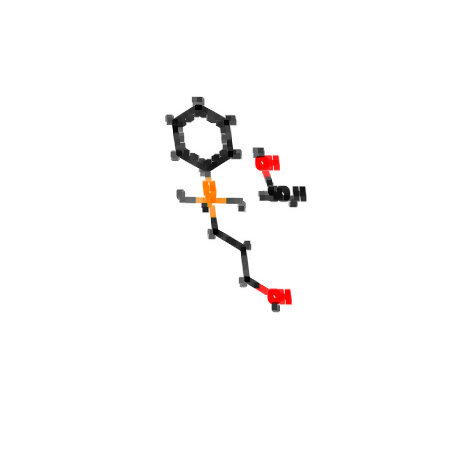 C[PH](C)(CCCO)c1ccccc1.O=S(=O)(O)O